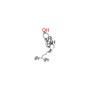 CC(C)C(CCC[C@@H](C)[C@H]1CC[C@H]2[C@@H]3CC=C4C[C@@H](O)CC[C@]4(C)[C@H]3CC[C@]12C)C(C)C